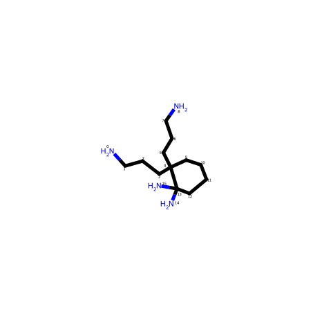 NCCCC1(CCCN)CCCCC1(N)N